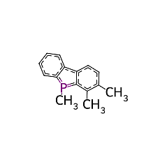 Cc1ccc2c3ccccc3p(C)c2c1C